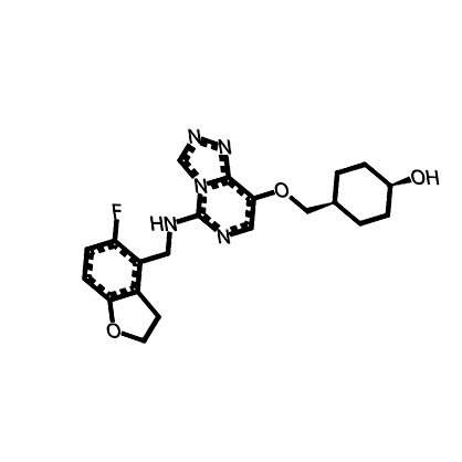 O[C@H]1CC[C@@H](COc2cnc(NCc3c(F)ccc4c3CCO4)n3cnnc23)CC1